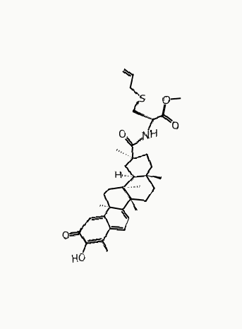 C=CCSC[C@H](NC(=O)[C@@]1(C)CC[C@]2(C)CC[C@]3(C)C4=CC=C5C(=CC(=O)C(O)=C5C)[C@@]4(C)CC[C@@]3(C)[C@H]2C1)C(=O)OC